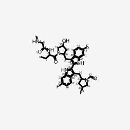 CCC(NC(=O)CNC)C(=O)N1CC(O)CC1Cc1c(-c2[nH]c3cc(F)ccc3c2CC2CC(F)CN2C=O)[nH]c2cc(F)ccc12